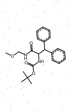 COCNC(=O)C(NC(=O)OC(C)(C)C)C(c1ccccc1)c1ccccc1